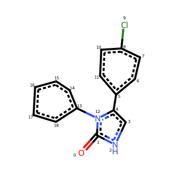 O=c1[nH]cc(-c2ccc(Cl)cc2)n1-c1ccccc1